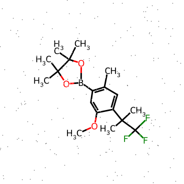 COc1cc(B2OC(C)(C)C(C)(C)O2)c(C)cc1C(C)(C)C(F)(F)F